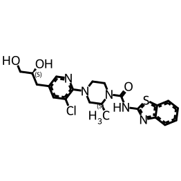 C[C@H]1CN(c2ncc(C[C@H](O)CO)cc2Cl)CCN1C(=O)Nc1nc2ccccc2s1